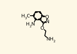 Cc1ccc2onc(OCCN)c2c1N